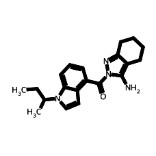 CCC(C)n1ccc2c(C(=O)n3nc4c(c3N)CCCC4)cccc21